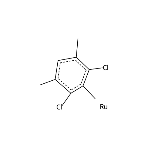 Cc1cc(C)c(Cl)c(C)c1Cl.[Ru]